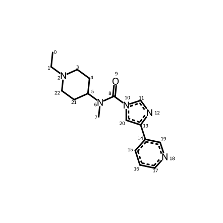 CCN1CCC(N(C)C(=O)n2cnc(-c3cccnc3)c2)CC1